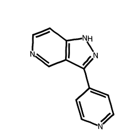 c1cc(-c2n[nH]c3ccncc23)ccn1